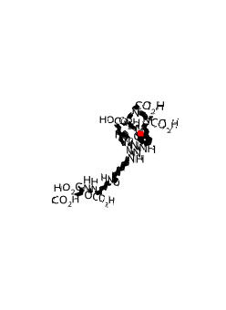 O=C(O)CCCC1CCN(c2nc(NCCCCCCCC(=O)NCCCCC[C@H](NC(=O)N[C@@H](CCC(=O)O)C(=O)O)C(=O)O)nc(Nc3ccc(CC4CN(CC(=O)O)CCN(CC(=O)O)CCN(CC(=O)O)CCN4CC(=O)O)cc3)n2)CC1